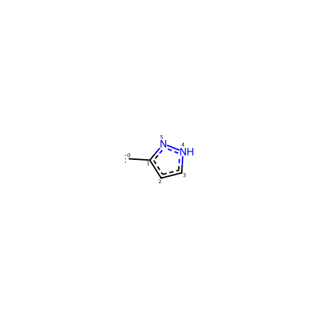 [C]c1cc[nH]n1